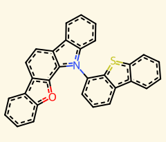 c1ccc2c(c1)oc1c2ccc2c3ccccc3n(-c3cccc4c3sc3ccccc34)c21